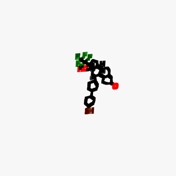 C[C@]12C[C@H](c3ccc(-c4ccc(S)cc4)cc3)C3=C4CCC(=O)C=C4CC[C@H]3[C@@H]1CC[C@]2(O)C(F)(F)C(F)(F)F